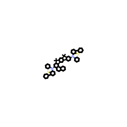 CC1(C)c2cc(N(c3ccccc3)c3cccc4c3sc3ccccc34)ccc2-c2cc3c(cc21)C(C)(C)c1cc(N(c2ccccc2)c2cccc4c2sc2ccccc24)c2ccc4ccccc4c2c1-3